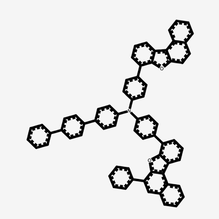 c1ccc(-c2ccc(-c3ccc(N(c4ccc(-c5cccc6c5oc5ccc7ccccc7c56)cc4)c4ccc(-c5cccc6c5oc5c(-c7ccccc7)cc7ccccc7c56)cc4)cc3)cc2)cc1